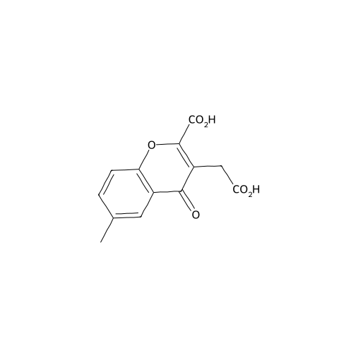 Cc1ccc2oc(C(=O)O)c(CC(=O)O)c(=O)c2c1